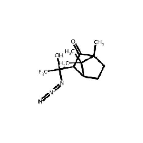 CC12CCC(C(C(O)(N=[N+]=[N-])C(F)(F)F)C1=O)C2(C)C